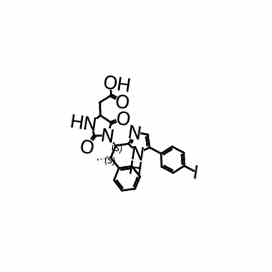 C[C@@H](c1ccccc1)[C@@H](c1ncc(-c2ccc(I)cc2)[nH]1)N1C(=O)NC(CC(=O)O)C1=O